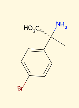 C[C@@](N)(C(=O)O)c1ccc(Br)cc1